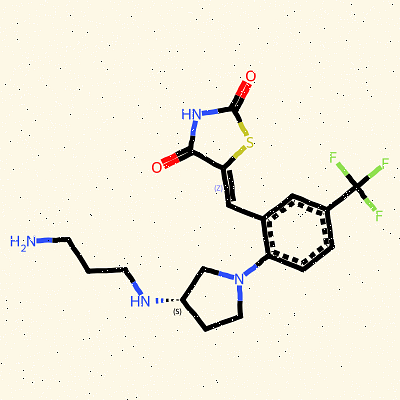 NCCCN[C@H]1CCN(c2ccc(C(F)(F)F)cc2/C=C2\SC(=O)NC2=O)C1